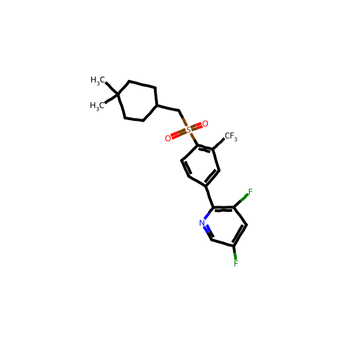 CC1(C)CCC(CS(=O)(=O)c2ccc(-c3ncc(F)cc3F)cc2C(F)(F)F)CC1